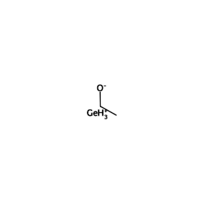 CC[O-].[GeH3+]